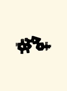 Cc1c[nH]c(=O)c2c(C(=O)N3CC4CC4(c4cccc(C(F)(F)F)c4)C3)cn(C)c12